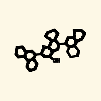 Oc1cc(-c2cc3ccccc3c3ccccc23)nc2c1cc(-c1cc3ccccc3c3c1CCC=C3)c1ccccc12